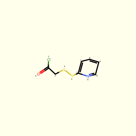 O=C(Cl)CSSc1ccccn1